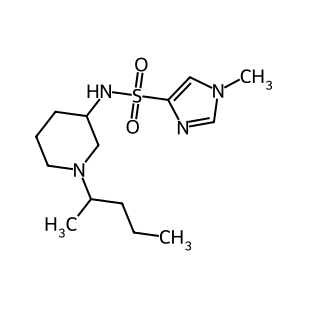 CCCC(C)N1CCCC(NS(=O)(=O)c2cn(C)cn2)C1